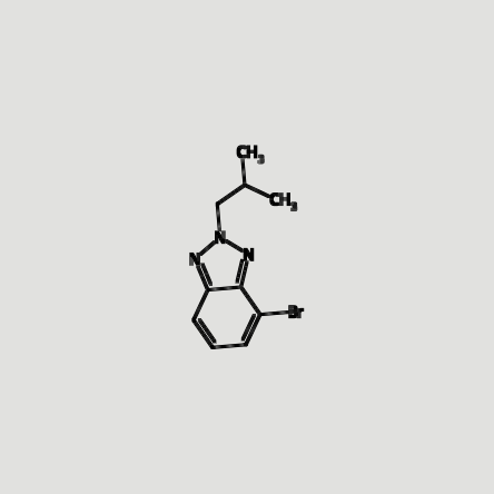 CC(C)Cn1nc2cccc(Br)c2n1